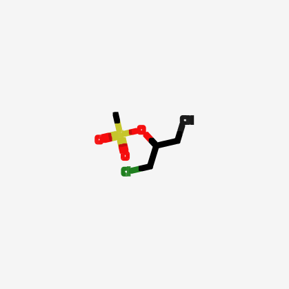 CS(=O)(=O)OC(CCl)CC#N